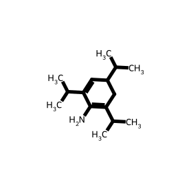 CC(C)C1=CC(C(C)C)CC(C(C)C)=C1N